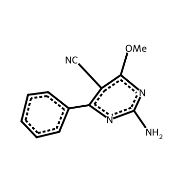 COc1nc(N)nc(-c2ccccc2)c1C#N